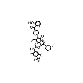 CCc1c(N2CCN(C(=O)c3ncccc3O)CC2)c(=O)n2nc(N3CCC[C@@H](F)C3)nc2n1CC(=O)Nc1cc(Cl)c(C(F)(F)F)cc1C